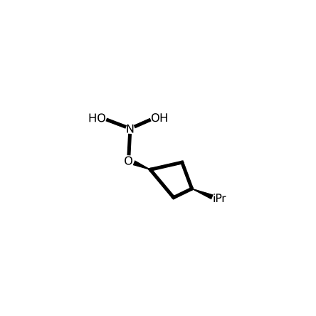 CC(C)[C@H]1C[C@@H](ON(O)O)C1